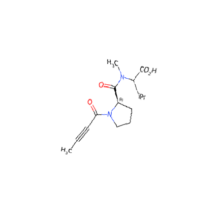 CC#CC(=O)N1CCC[C@@H]1C(=O)N(C)C(C(=O)O)C(C)C